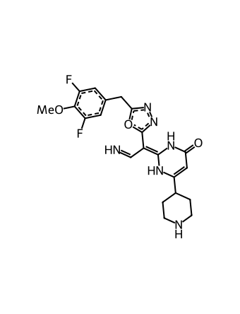 COc1c(F)cc(Cc2nnc(/C(C=N)=C3\NC(=O)C=C(C4CCNCC4)N3)o2)cc1F